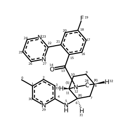 Cc1ccc(N[C@@H]2C[C@H]3CC[C@@H]2N(C(=O)c2ccc(F)cc2-c2ncccn2)C3)nc1